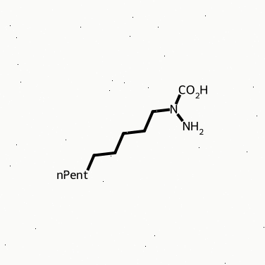 CCCCCCCCCCN(N)C(=O)O